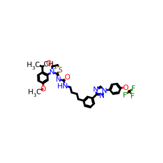 COc1ccc(C(C)C)c(N2C(=O)CSC2=NC(=O)NCCCCc2cccc(-c3ncn(-c4ccc(OC(F)(F)F)cc4)n3)c2)c1